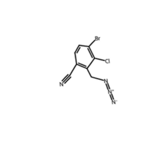 N#Cc1ccc(Br)c(Cl)c1CN=[N+]=[N-]